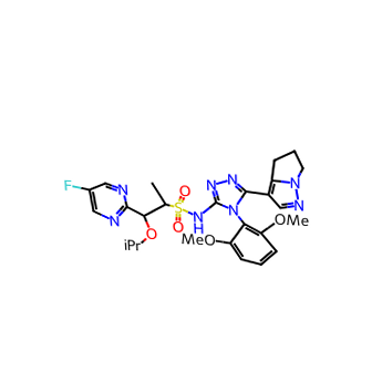 COc1cccc(OC)c1-n1c(NS(=O)(=O)C(C)C(OC(C)C)c2ncc(F)cn2)nnc1-c1cnn2c1CCC2